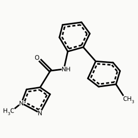 Cc1ccc(-c2ccccc2NC(=O)c2cnn(C)c2)cc1